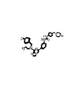 COCCN(Cc1ccc(Cl)cc1)c1nc(-c2cccc(NC(=O)Nc3ccc(CN4CCN(C)CC4)cc3)c2)cn2ccnc12